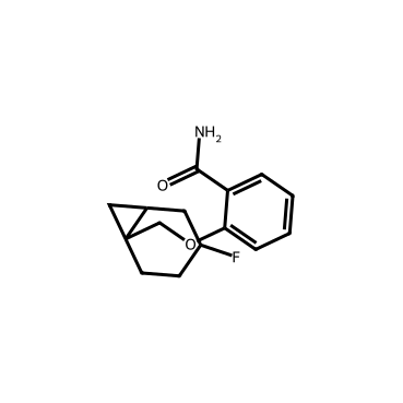 NC(=O)c1ccccc1OCC12CCC(F)CC1C2